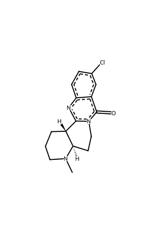 CN1CCC[C@@H]2c3nc4ccc(Cl)cc4c(=O)n3CC[C@H]21